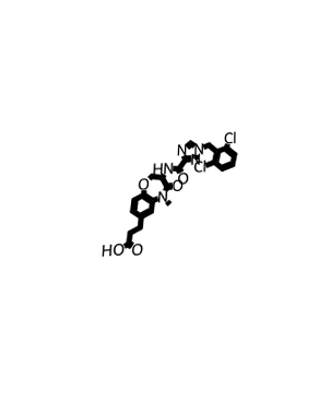 CN1C(=O)C(NC(=O)c2ncn(Cc3c(Cl)cccc3Cl)n2)COc2ccc(CCC(=O)O)cc21